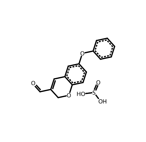 O=CC1=Cc2cc(Oc3ccccc3)ccc2OC1.O=S(O)O